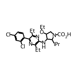 CCOC1CN(C(=O)O)C(C(C)C)C1Nc1nc(CC)c(-c2ccc(Cl)cc2Cl)nc1CC